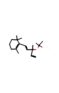 C=CC(C)(C=CC1=C(C)CCCC1(C)C)OC(C)(C)OC